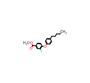 CCCCCc1ccc(Oc2ccc(C(=O)OC)cc2F)cc1